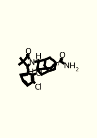 CC1(C)C(=O)N([C@@H]2C3CC4C[C@H]2C[C@@](C(N)=O)(C4)C3)C1c1cccc(Cl)c1Cl